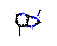 Cc1ccnc2c1ncn2C